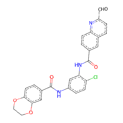 O=Cc1ccc2cc(C(=O)Nc3cc(NC(=O)c4ccc5c(c4)OCCO5)ccc3Cl)ccc2n1